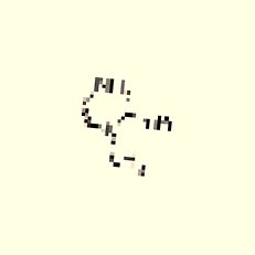 CCCCN(C)/C=C\N